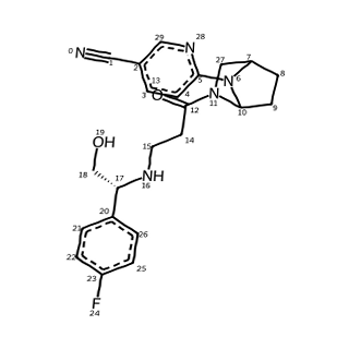 N#Cc1ccc(N2C3CCC2N(C(=O)CCN[C@@H](CO)c2ccc(F)cc2)C3)nc1